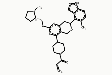 C=CC(=O)N1CCC(c2nc(OC[C@@H]3CCCN3C)nc3c2COC(c2c(C)ccc4[nH]ncc24)C3)CC1